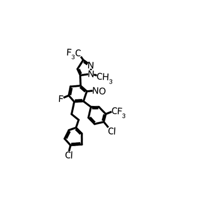 Cn1nc(C(F)(F)F)cc1-c1cc(F)c(CCc2ccc(Cl)cc2)c(-c2ccc(Cl)c(C(F)(F)F)c2)c1N=O